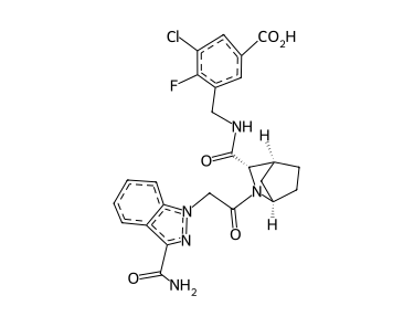 NC(=O)c1nn(CC(=O)N2[C@@H]3CC[C@@H](C3)[C@H]2C(=O)NCc2cc(C(=O)O)cc(Cl)c2F)c2ccccc12